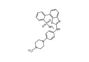 CN1CCN(c2ccc(Nc3nc4cccc(-c5ccccc5S(N)(=O)=O)c4o3)cc2)CC1